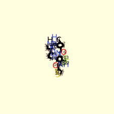 Cc1ccc(C(=O)Nc2ccc(NC(=O)C3CCSS3)c(C(F)(F)F)c2)cc1Nc1nccc(-c2cccnc2)n1